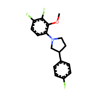 COc1c(N2CCC(c3ccc(F)cc3)C2)ccc(F)c1F